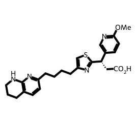 COc1ccc([C@H](CC(=O)O)c2nc(CCCCc3ccc4c(n3)NCCC4)cs2)cn1